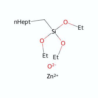 CCCCCCCC[Si](OCC)(OCC)OCC.[O-2].[Zn+2]